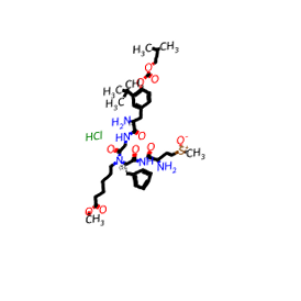 COC(=O)CCCCCN(C(=O)CNC(=O)[C@@H](N)Cc1ccc(OC(=O)OCC(C)C)c(C(C)(C)C)c1)[C@@H](Cc1ccccc1)C(=O)NC(=O)C(N)CC[S+](C)[O-].Cl